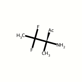 CC(=O)[C@](C)(N)C(C)(F)F